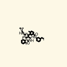 Cc1ccc(C(=O)Nc2cccc(CI)c2)cc1-c1nc(NCCN(C)C)nc2c1CNC(=O)N2c1c(F)cccc1F